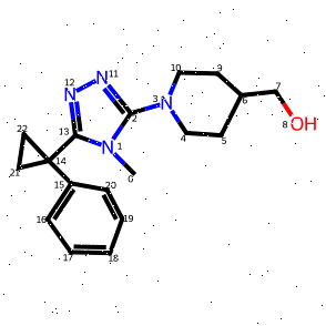 Cn1c(N2CCC(CO)CC2)nnc1C1(c2ccccc2)CC1